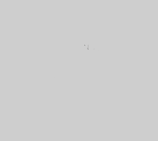 CO/N=C1/Cc2ccccc2C1Cc1ccccc1